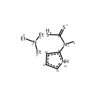 CCN(CC)CC.CN(C(=S)S)c1ccc[nH]1